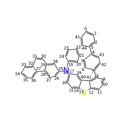 c1ccc(-c2ccc(-c3cccc4sc5ccc(N(c6ccccc6)c6ccc7c(ccc8ccccc87)c6)cc5c34)cc2)cc1